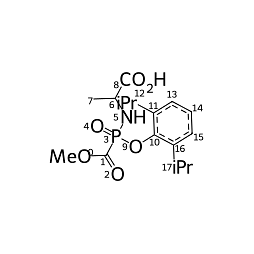 COC(=O)P(=O)(NC(C)C(=O)O)Oc1c(C(C)C)cccc1C(C)C